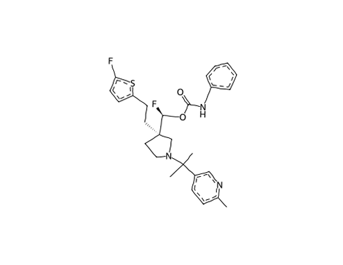 Cc1ccc(C(C)(C)N2CC[C@@](CCc3ccc(F)s3)([C@@H](F)OC(=O)Nc3ccccc3)C2)cn1